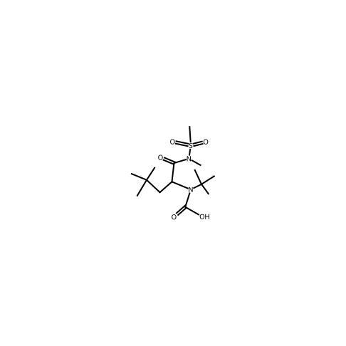 CN(C(=O)C(CC(C)(C)C)N(C(=O)O)C(C)(C)C)S(C)(=O)=O